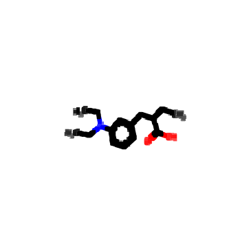 CCC(Cc1cccc(N(CC)CC)c1)C(=O)O